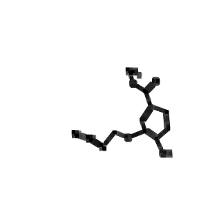 [N-]=[N+]=NCOc1cc(C(=O)ON)ccc1O